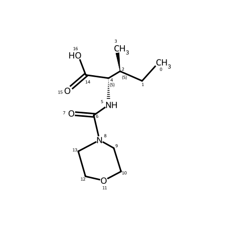 CC[C@H](C)[C@H](NC(=O)N1CCOCC1)C(=O)O